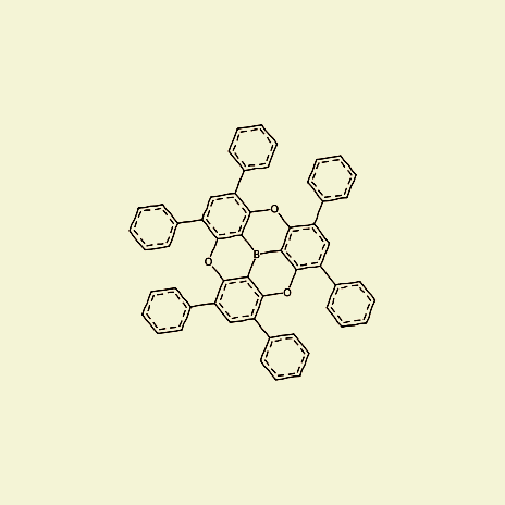 c1ccc(-c2cc(-c3ccccc3)c3c4c2Oc2c(-c5ccccc5)cc(-c5ccccc5)c5c2B4c2c(c(-c4ccccc4)cc(-c4ccccc4)c2O5)O3)cc1